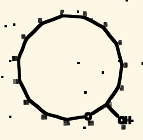 OC1CCCCCCCCCCCCCO1